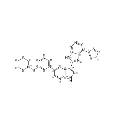 c1cc(-c2cncc3[nH]c(-c4n[nH]c5ncc(-c6cncc(CN7CCCCC7)c6)cc45)nc23)cs1